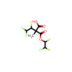 CC(C(=O)O)(C(=O)OC(F)C(F)F)C(F)C(F)F